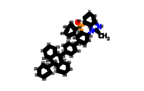 Cc1nc2cccc3c2n1-c1ccc(-c2ccc(-c4c5ccccc5c(-c5ccccc5)c5ccccc45)cc2)cc1P3(=O)c1ccccc1